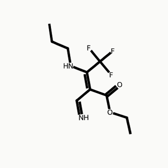 CCCN/C(=C(\C=N)C(=O)OCC)C(F)(F)F